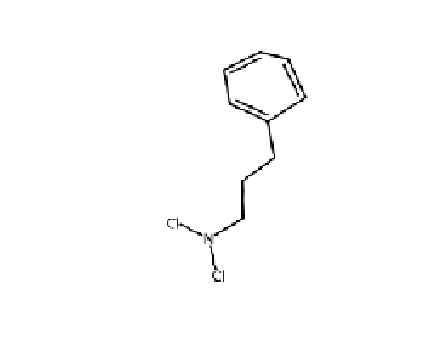 ClN(Cl)CCCc1ccccc1